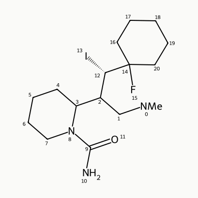 CNCC(C1CCCCN1C(N)=O)[C@H](I)C1(F)CCCCC1